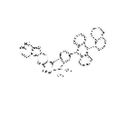 C/C=C\c1c(C)oc2cc3c4c(ccc3cc12)C(C)(C)c1cc(-c2c3ccccc3c(-c3cccc5ccccc35)c3ccccc23)ccc1-4